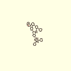 N#Cc1cc(-c2cccc3c2-c2cc(-c4ccc5cc(-c6nc(-c7ccccc7)nc(-c7ccccc7)n6)ccc5c4)ccc2C32C3CC4CC(C3)CC2C4)ccc1-c1ccccc1